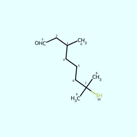 CC(CC=O)CCCC(C)(C)S